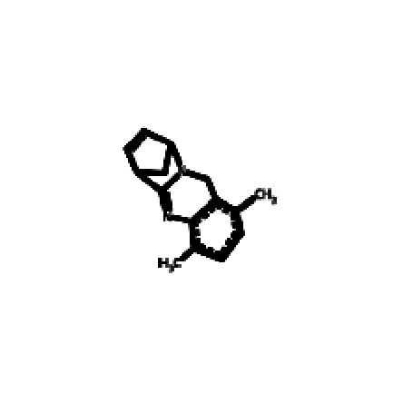 Cc1ccc(C)c2c1CN1C(=N2)C2C=CC1C2